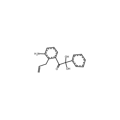 C=CCc1c(N)cccc1C(=O)C(O)(O)c1ccccc1